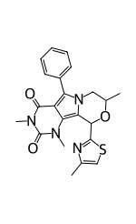 Cc1csc(C2OC(C)Cn3c(-c4ccccc4)c4c(=O)n(C)c(=O)n(C)c4c32)n1